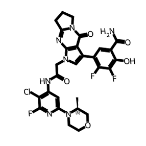 C[C@H]1COCCN1c1cc(NC(=O)Cn2cc(-c3cc(C(N)=O)c(O)c(F)c3F)c3c(=O)n4c(nc32)CCC4)c(Cl)c(F)n1